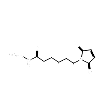 CCCCCNC(=O)CCCCCN1C(=O)C=CC1=O